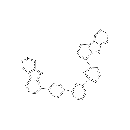 c1cc(-c2ccc(-c3cccc4c3oc3cnccc34)cc2)cc(-c2cccc(-c3cccc4c3sc3ccccc34)c2)c1